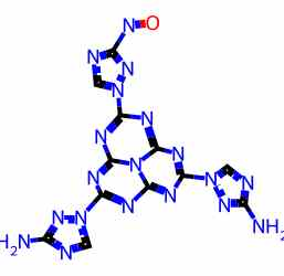 Nc1ncn(C2=NC3=NC(n4cnc(N)n4)=NC4=NC(n5cnc(N=O)n5)=NC(=N2)N34)n1